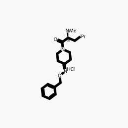 CN[C@@H](CC(C)C)C(=O)N1CCC(=NOCc2ccccc2)CC1.Cl